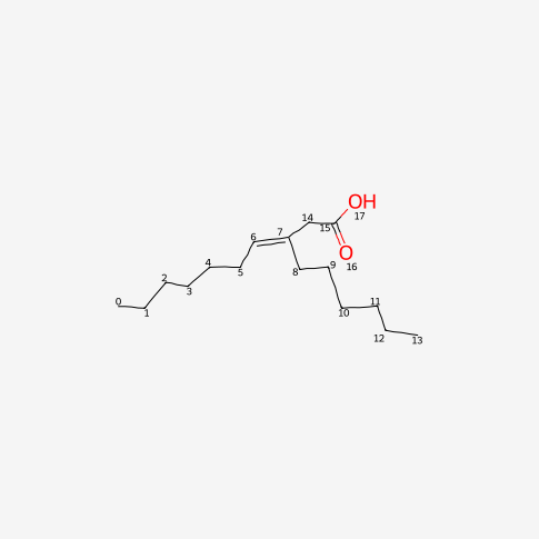 CCCCCC/C=C(\CCCCCC)CC(=O)O